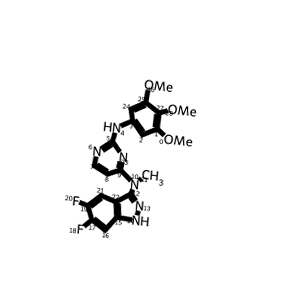 COc1cc(Nc2nccc(N(C)c3n[nH]c4cc(F)c(F)cc34)n2)cc(OC)c1OC